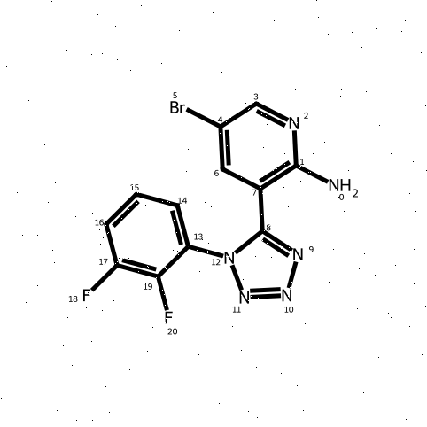 Nc1ncc(Br)cc1-c1nnnn1-c1cccc(F)c1F